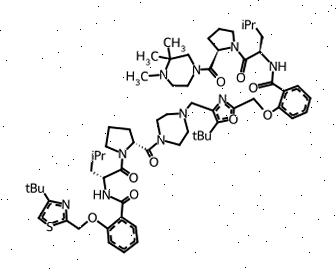 CC(C)C[C@@H](NC(=O)c1ccccc1OCc1nc(C(C)(C)C)cs1)C(=O)N1CCC[C@@H]1C(=O)N1CCN(Cc2nc(COc3ccccc3C(=O)N[C@H](CC(C)C)C(=O)N3CCC[C@@H]3C(=O)N3CCN(C)C(C)(C)C3)oc2C(C)(C)C)CC1